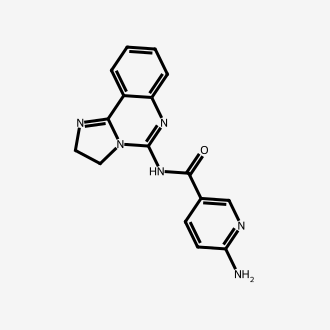 Nc1ccc(C(=O)NC2=Nc3ccccc3C3=NCCN23)cn1